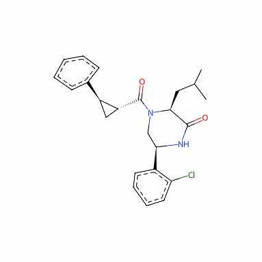 CC(C)C[C@H]1C(=O)N[C@@H](c2ccccc2Cl)CN1C(=O)[C@@H]1C[C@H]1c1ccccc1